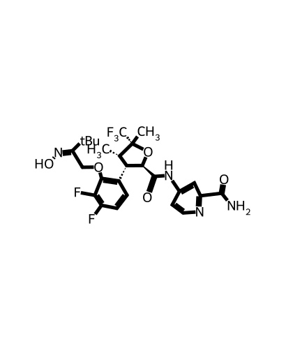 C[C@H]1[C@@H](c2ccc(F)c(F)c2OC/C(=N\O)C(C)(C)C)[C@H](C(=O)Nc2ccnc(C(N)=O)c2)O[C@@]1(C)C(F)(F)F